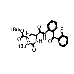 CC(C)(C)OC(=O)NCC(NC(=O)OC(C)(C)C)C(=O)Nc1ccccc1C(=O)c1ccccc1F